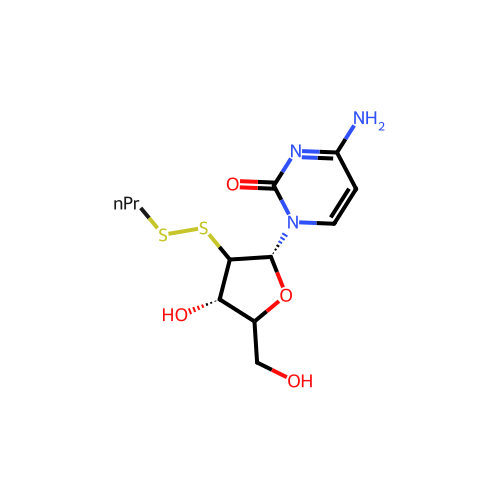 CCCSSC1[C@@H](O)C(CO)O[C@H]1n1ccc(N)nc1=O